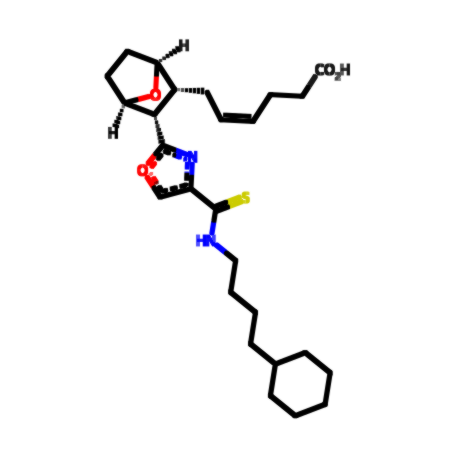 O=C(O)CC/C=C\C[C@@H]1[C@H](c2nc(C(=S)NCCCCC3CCCCC3)co2)[C@H]2CC[C@@H]1O2